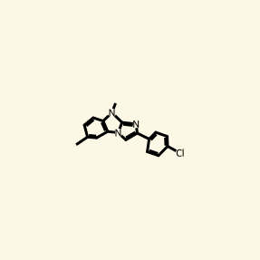 Cc1ccc2c(c1)n1cc(-c3ccc(Cl)cc3)nc1n2C